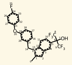 Cc1cc2cc(C(O)(C(F)(F)F)C(F)(F)F)ccc2n1Cc1cccc(Oc2ccc(F)cc2)c1